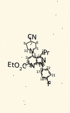 CCOC(=O)c1cc(N2CCC(C#N)CC2)c2c(C(C)C)nn(-c3ccc(F)cc3)c2n1